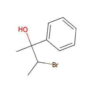 CC(Br)C(C)(O)c1ccccc1